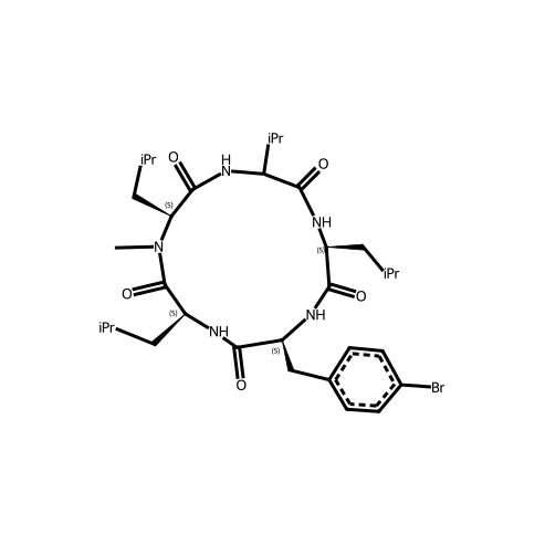 CC(C)C[C@@H]1NC(=O)C(C(C)C)NC(=O)[C@H](CC(C)C)N(C)C(=O)[C@H](CC(C)C)NC(=O)[C@H](Cc2ccc(Br)cc2)NC1=O